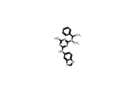 CC(c1ccccc1)N(C)c1nc(O)nc(Nc2ccc3ncsc3c2)n1